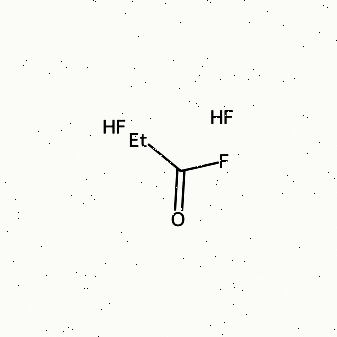 CCC(=O)F.F.F